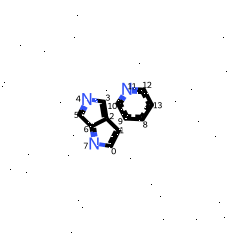 C1=CC2=CN=CC2=N1.c1ccncc1